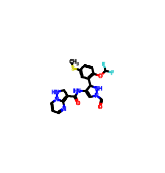 CSc1ccc(OC(F)F)c(C2NN(C=O)C=C2NC(=O)C2=C3N=CC=CN3NC2)c1